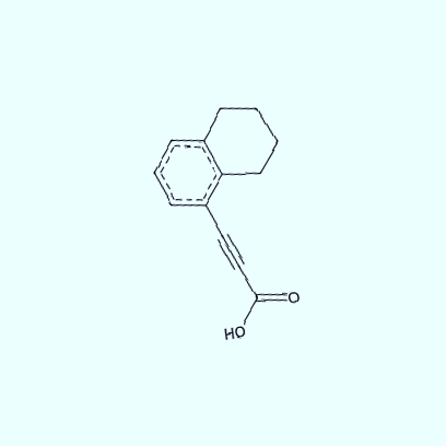 O=C(O)C#Cc1cccc2c1CCCC2